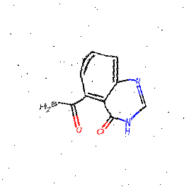 BC(=O)c1cccc2nc[nH]c(=O)c12